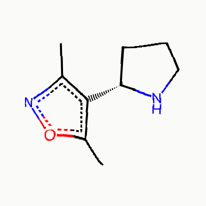 Cc1noc(C)c1[C@@H]1CCCN1